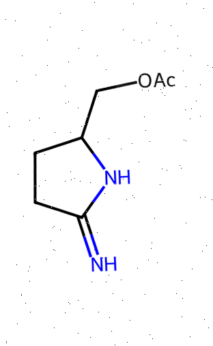 CC(=O)OCC1CCC(=N)N1